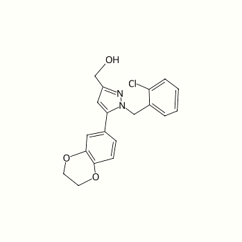 OCc1cc(-c2ccc3c(c2)OCCO3)n(Cc2ccccc2Cl)n1